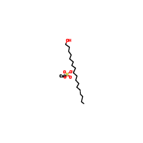 CCCCCCCCCCCCCCCCCCO.O=S(=O)([O-])[O-].[Ca+2]